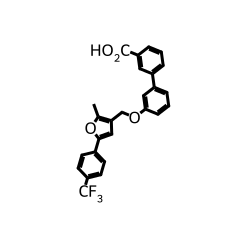 Cc1oc(-c2ccc(C(F)(F)F)cc2)cc1COc1cccc(-c2cccc(C(=O)O)c2)c1